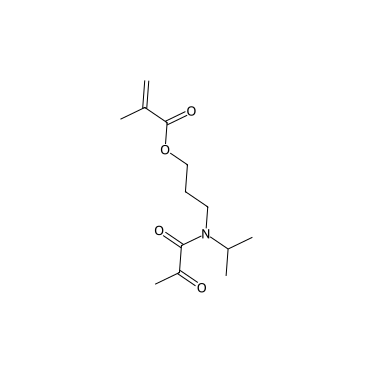 C=C(C)C(=O)OCCCN(C(=O)C(C)=O)C(C)C